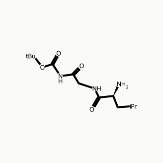 CC(C)C[C@H](N)C(=O)NCC(=O)NC(=O)OC(C)(C)C